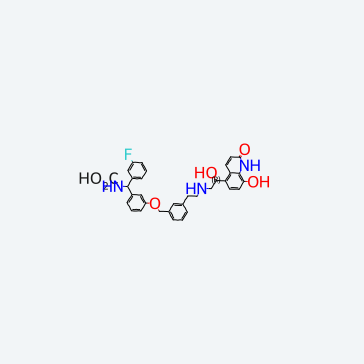 O=C(O)NC(c1cccc(F)c1)c1cccc(OCc2cccc(CCNC[C@H](O)c3ccc(O)c4[nH]c(=O)ccc34)c2)c1